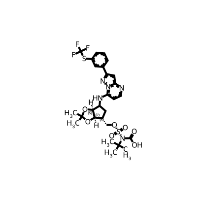 CC1(C)O[C@@H]2[C@@H](COS(=O)(=O)N(C(=O)O)C(C)(C)C)CC(Nc3ccnc4cc(-c5cccc(SC(F)(F)F)c5)nn34)[C@@H]2O1